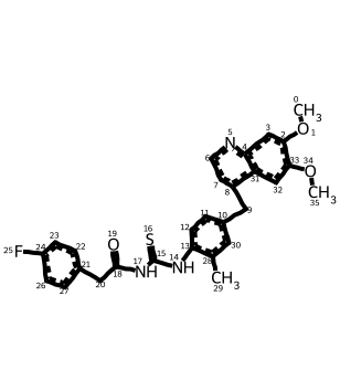 COc1cc2nccc(Cc3ccc(NC(=S)NC(=O)Cc4ccc(F)cc4)c(C)c3)c2cc1OC